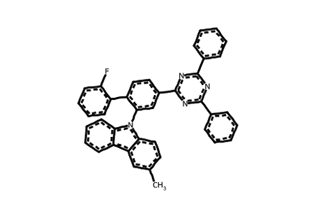 Cc1ccc2c(c1)c1ccccc1n2-c1cc(-c2nc(-c3ccccc3)nc(-c3ccccc3)n2)ccc1-c1ccccc1F